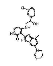 Cc1cc(N2C=NCCC2)cc2[nH]c(-c3c(NCC(O)c4cccc(Cl)c4)cc[nH]c3=O)nc12